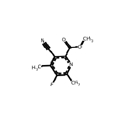 COC(=O)c1nc(C)c(F)c(C)c1C#N